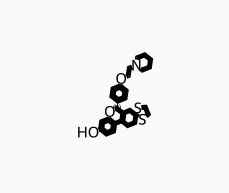 Oc1ccc2c(c1)O[C@H](c1ccc(OCCN3CCCCC3)cc1)C1=C2CCC2(C1)SCCS2